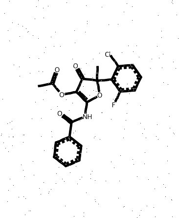 CC(=O)OC1=C(NC(=O)c2ccccc2)OC(C)(c2c(F)cccc2Cl)C1=O